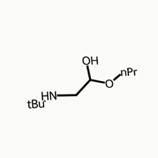 CCCOC(O)CNC(C)(C)C